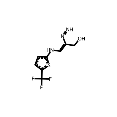 N=N/C(=C\Nc1ccc(C(F)(F)F)s1)CO